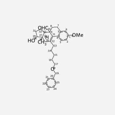 COc1ccc2c(c1)CCC1(C=O)C2=C(CCCCCOCc2ccccc2)C[C@]2(C)[C@@H](O)CC[C@@H]12